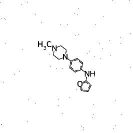 CN1CCN(c2ccc(Nc3ccco3)cc2)CC1